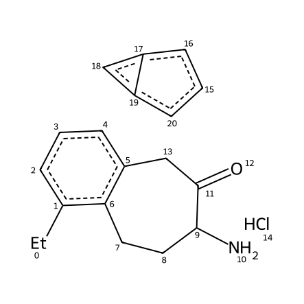 CCc1cccc2c1CCC(N)C(=O)C2.Cl.c1cc2cc-2c1